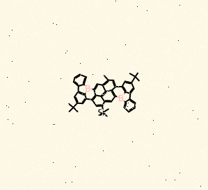 Cc1cc2c3c(cc4c([Si](C)(C)C)cc5c6c(cc1c3c46)B1c3ccccc3-c3cc(C(C)(C)C)cc-5c31)B1c3ccccc3-c3cc(C(C)(C)C)cc-2c31